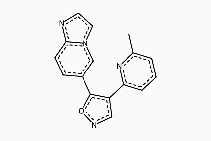 Cc1cccc(-c2cnoc2-c2ccc3nccn3c2)n1